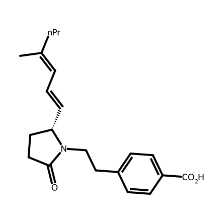 CCCC(C)=CC=C[C@H]1CCC(=O)N1CCc1ccc(C(=O)O)cc1